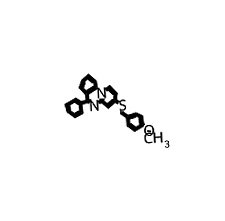 COc1ccc(CSc2ccnc(N=C(c3ccccc3)c3ccccc3)c2)cc1